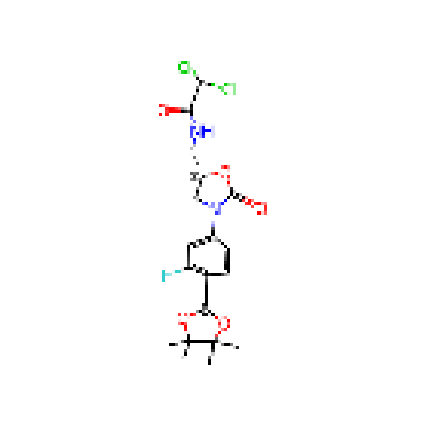 CC1(C)OB(c2ccc(N3C[C@H](CNC(=O)C(Cl)Cl)OC3=O)cc2F)OC1(C)C